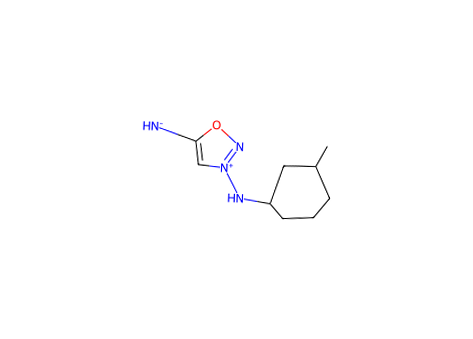 CC1CCCC(N[n+]2cc([NH-])on2)C1